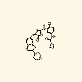 O=C1N=C(Nc2cc(NC(=O)C3CCC3)ccc2Cl)SC1=Cc1ccc2ncc(N3CCOCC3)nc2c1